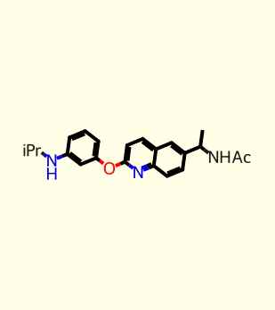 CC(=O)NC(C)c1ccc2nc(Oc3cccc(NC(C)C)c3)ccc2c1